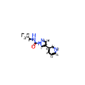 O=C(NCC(F)(F)F)n1cc(-c2cccnc2)cn1